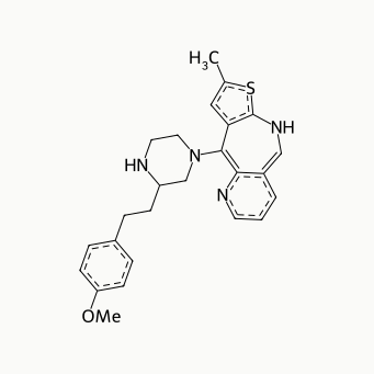 COc1ccc(CCC2CN(C3=c4ncccc4=CNc4sc(C)cc43)CCN2)cc1